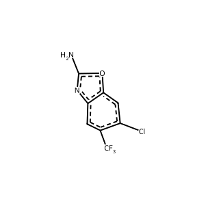 Nc1nc2cc(C(F)(F)F)c(Cl)cc2o1